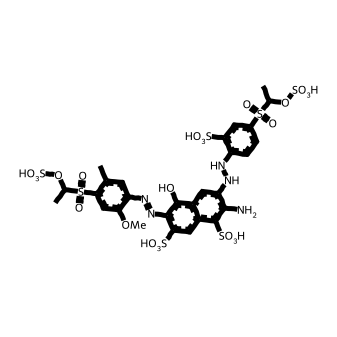 COc1cc(S(=O)(=O)C(C)OS(=O)(=O)O)c(C)cc1N=Nc1c(S(=O)(=O)O)cc2c(S(=O)(=O)O)c(N)c(NNc3ccc(S(=O)(=O)C(C)OS(=O)(=O)O)cc3S(=O)(=O)O)cc2c1O